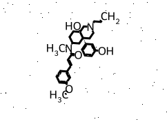 C=CCN1CC[C@@]2(c3cccc(O)c3)C[C@@H](N(C)C(=O)C=Cc3cccc(OC)c3)CC[C@]2(O)C1